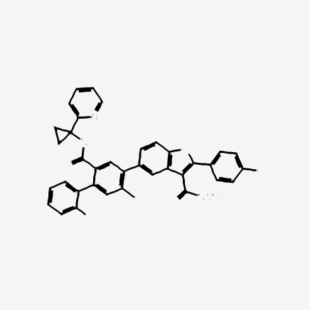 CNC(=O)c1c(-c2ccc(F)cc2)oc2ccc(-c3cc(C(=O)NC4(c5ccccn5)CC4)c(-c4ccccc4Cl)cc3C)cc12